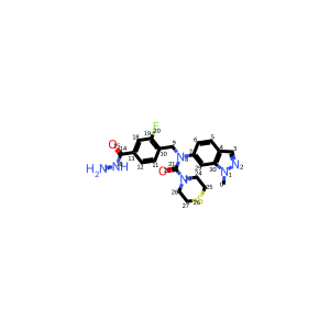 Cn1ncc2ccc(N(Cc3ccc(C(=O)NN)cc3F)C(=O)N3CCSCC3)cc21